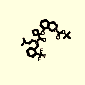 CN(C)CCN(Cc1ccccc1C(F)(F)F)C(=O)C1(Oc2cccc3c2CN(C(=O)OC(C)(C)C)CC3)CCC1